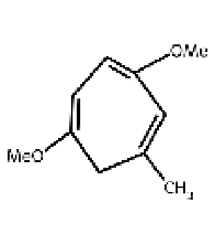 COC1=CC=C(OC)CC(C)=C1